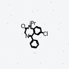 CC(C)N1C(=O)CN=C(c2ccccc2)c2cc(Cl)ccc21